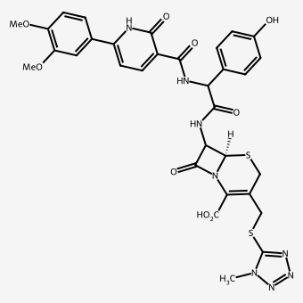 COc1ccc(-c2ccc(C(=O)NC(C(=O)NC3C(=O)N4C(C(=O)O)=C(CSc5nnnn5C)CS[C@H]34)c3ccc(O)cc3)c(=O)[nH]2)cc1OC